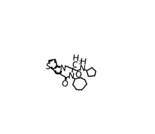 CC1(C(=O)NC2CCCC2)Cn2c(cc3sccc32)C(=O)N1C1CCCCCC1